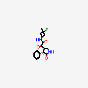 CC1(F)CC(NC(=O)C(=O)C2CNC(=O)[C@@H]2c2ccccc2)C1